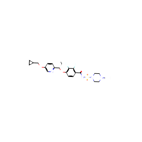 CC[C@@H](Oc1ccc(C(=O)NS(=O)(=O)N2CCN(C)CC2)c(F)c1F)c1ccc(OCC2CC2)cn1